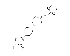 Fc1ccc(C2CCC(C3CCC(=CCC4OCCCO4)CC3)CC2)cc1F